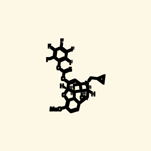 COC1=C2O[C@H]3C(OC(=S)Oc4c(F)c(F)c(F)c(F)c4F)=CC45C[C@]36C2C(C=C1)C[C@@H](N4CC1CC1)[C@]56O